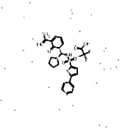 N=C(N)C1=CC=C[C@@H](C(NS(=O)(=O)c2ccc(-c3ccncc3)s2)N2CCCC2)C1=O.O=C(O)C(F)(F)F